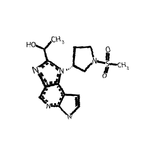 CC(O)c1nc2cnc3c(c2n1[C@@H]1CCN(S(C)(=O)=O)C1)C=C[N]3